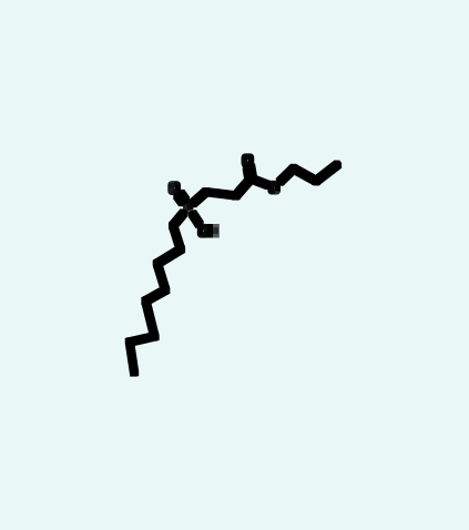 CCCCCCCCP(=O)(O)CCC(=O)OCCC